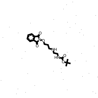 CC(C)(C)OC(=O)NCCNCCCON1C(=O)c2ccccc2C1=O